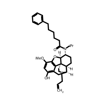 C=CCN1CC[C@]23c4c5c(O)cc(OC)c4O[C@H]2[C@H](N(C(=O)CCCCCc2ccccc2)C(C)C)CC[C@H]3[C@H]1C5